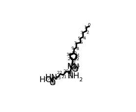 CCCCCCCCCCc1ccc(-c2noc([C@@H](N)CCCCNC(=O)O)n2)cc1